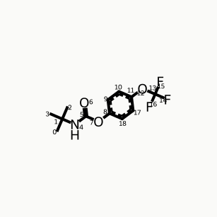 CC(C)(C)NC(=O)Oc1ccc(OC(F)(F)F)cc1